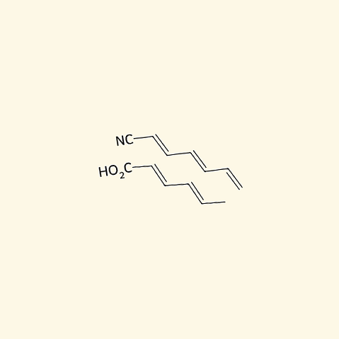 C=CC=CC=CC#N.CC=CC=CC(=O)O